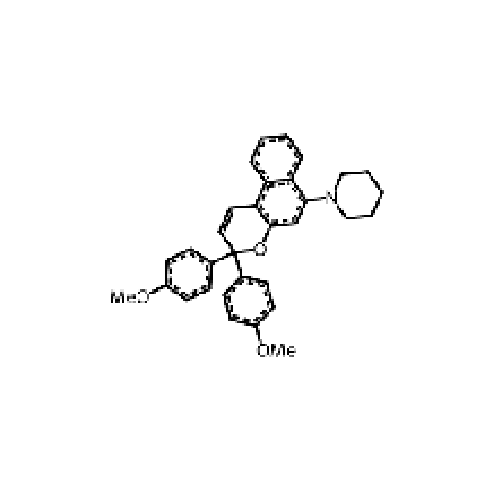 COc1ccc(C2(c3ccc(OC)cc3)C=Cc3c(cc(N4CCCCC4)c4ccccc34)O2)cc1